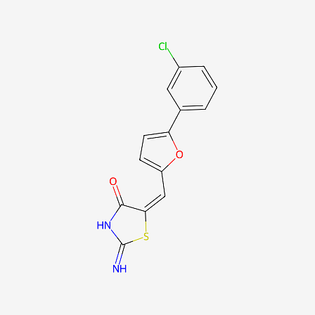 N=C1NC(=O)/C(=C\c2ccc(-c3cccc(Cl)c3)o2)S1